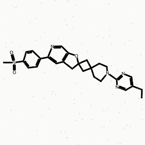 CCc1cnc(N2CCC3(CC2)CC2(Cc4cc(-c5ccc(S(C)(=O)=O)cc5)ncc4O2)C3)nc1